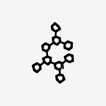 c1ccc(-c2cc(-c3ccccc3)cc(-c3cccc(-c4cc(-c5ccccc5)cc(-c5cc(-c6ccccc6)nc(-c6ccccc6)c5)c4)c3)c2)cc1